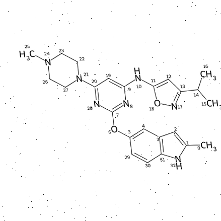 Cc1cc2cc(Oc3nc(Nc4cc(C(C)C)no4)cc(N4CCN(C)CC4)n3)ccc2[nH]1